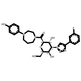 O=C([C@@H]1O[C@H](CO)[C@H](O)[C@H](n2cc(-c3cccc(F)c3)nn2)[C@H]1O)N1CCCN(c2ccc(O)cc2)CC1